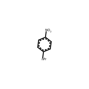 C[CH]Cc1ccc([N+](=O)[O-])cc1